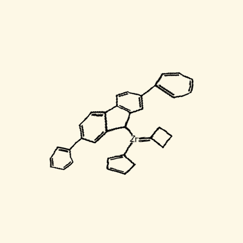 C1=CC[C]([Zr](=[C]2CCC2)[CH]2c3cc(-c4ccccc4)ccc3-c3ccc(-c4ccccc4)cc32)=C1